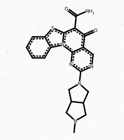 CN1CC2CN(c3ncc4c(=O)c(C(N)=O)c5sc6ccccc6n5c4n3)CC2C1